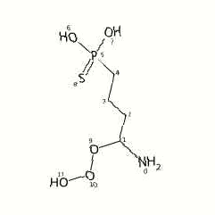 NC(CCCP(O)(O)=S)OOO